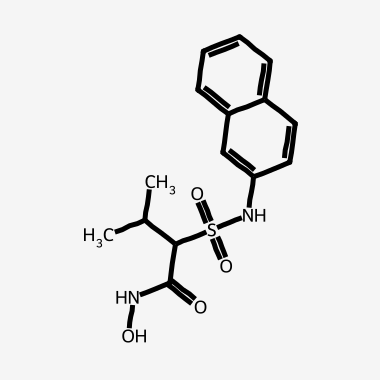 CC(C)C(C(=O)NO)S(=O)(=O)Nc1ccc2ccccc2c1